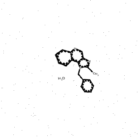 Cc1nc2cnc3ccccc3c2n1Cc1ccccc1.O